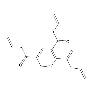 C=CCC(=C)c1ccc(C(=O)CC=C)cc1C(=O)CC=C